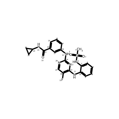 CS(=O)(=O)Nc1ccccc1Nc1nc(Nc2cccc(C(=O)NC3CC3)c2)ncc1F